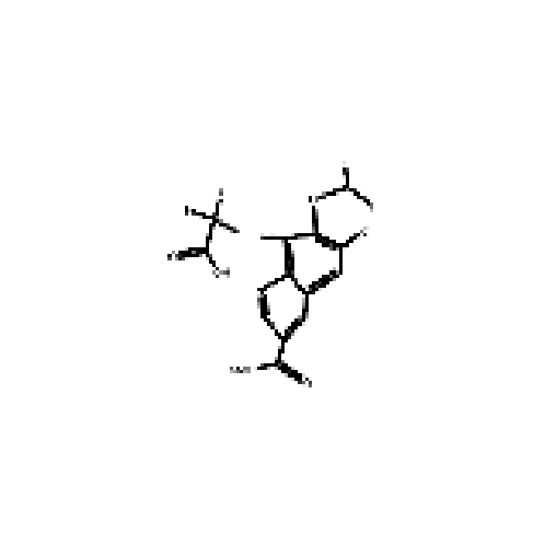 COC(=O)c1cnc2c(C)c(OC(F)F)c(Cl)cc2c1.O=C(O)C(F)(F)F